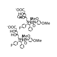 COc1ccc(NC(=O)c2c(-c3ccccc3)c(-c3ccc(F)cc3)n(CC[C@@H](O)C[C@@H](O)CC(=O)[O-])c2C2CC2)c(OC)c1.COc1ccc(NC(=O)c2c(-c3ccccc3)c(-c3ccc(F)cc3)n(CC[C@@H](O)C[C@@H](O)CC(=O)[O-])c2C2CC2)c(OC)c1.[Ca+2]